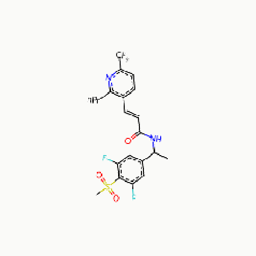 CCCc1nc(C(F)(F)F)ccc1C=CC(=O)NC(C)c1cc(F)c(S(C)(=O)=O)c(F)c1